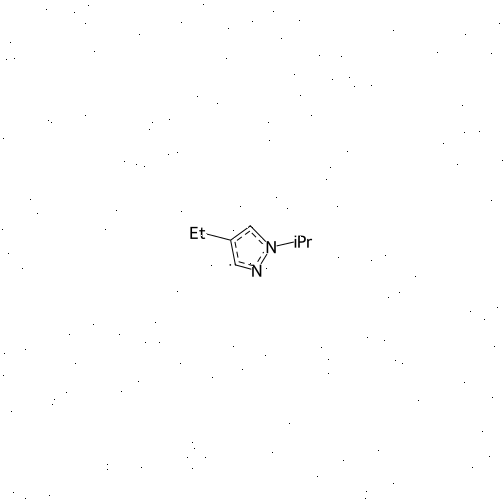 CCc1[c]nn(C(C)C)c1